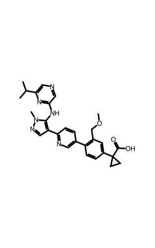 COCc1cc(C2(C(=O)O)CC2)ccc1-c1ccc(-c2cnn(C)c2Nc2cncc(C(C)C)n2)nc1